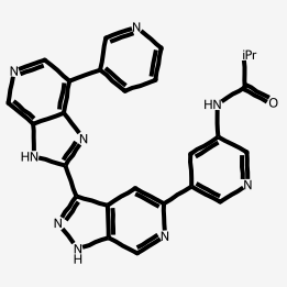 CC(C)C(=O)Nc1cncc(-c2cc3c(-c4nc5c(-c6cccnc6)cncc5[nH]4)n[nH]c3cn2)c1